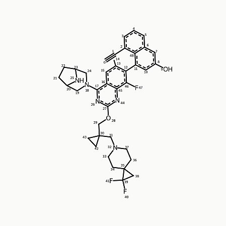 C#Cc1cccc2cc(O)cc(-c3c(C)cc4c(N5CC6CCC(C5)N6)nc(OCC5(CN6CCC7(CC6)CC7(F)F)CC5)nc4c3F)c12